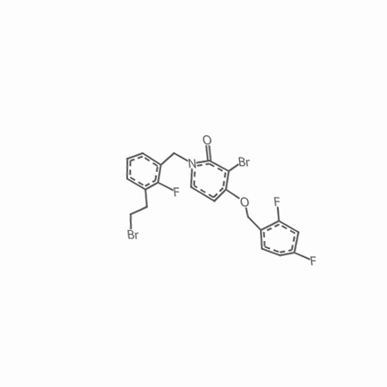 O=c1c(Br)c(OCc2ccc(F)cc2F)ccn1Cc1cccc(CCBr)c1F